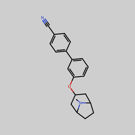 CN1C2CCC1CC(Oc1cccc(-c3ccc(C#N)cc3)c1)C2